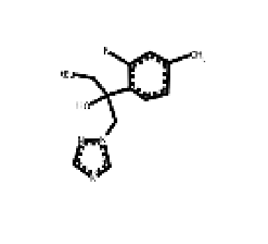 Cc1ccc(C(O)(Cn2cncn2)CC(C)(C)C)c(F)c1